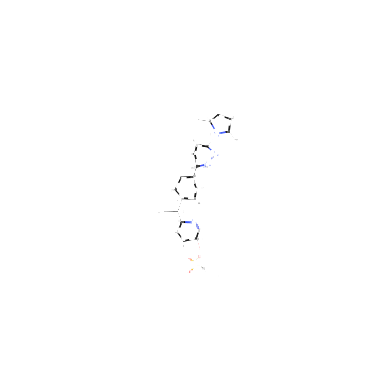 Cc1ccc(C)n1-c1ccc(-c2ccc(C(c3ccc(OS(=O)(=O)C(F)(F)F)cn3)C(C)(C)C)cc2)nn1